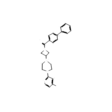 Cc1ccnc(N2CCN(C3CN(C(=O)c4ccc(-c5ccccc5)cc4)C3)CC2)c1